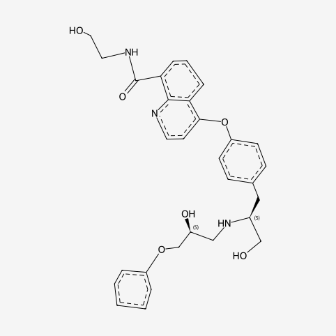 O=C(NCCO)c1cccc2c(Oc3ccc(C[C@@H](CO)NC[C@H](O)COc4ccccc4)cc3)ccnc12